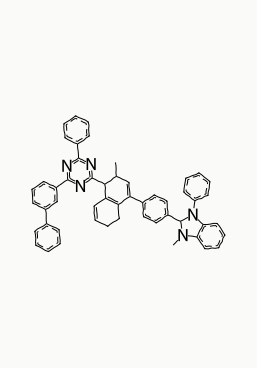 CC1C=C(c2ccc(C3N(C)c4ccccc4N3c3ccccc3)cc2)C2=C(C=CCC2)C1c1nc(-c2ccccc2)nc(-c2cccc(-c3ccccc3)c2)n1